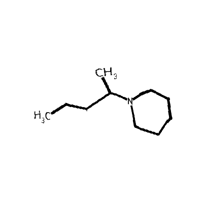 CC[CH]C(C)N1CCCCC1